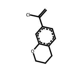 C=C(Cl)c1ccc2c(c1)OCCC2